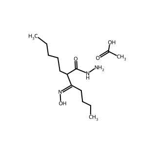 CC(=O)O.CCCCCC(C(=O)NN)C(CCCC)=NO